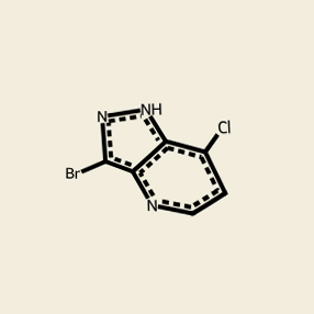 Clc1ccnc2c(Br)n[nH]c12